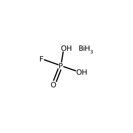 O=P(O)(O)F.[BiH3]